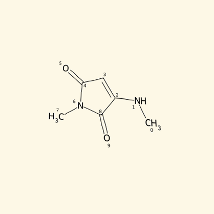 CNC1=CC(=O)N(C)C1=O